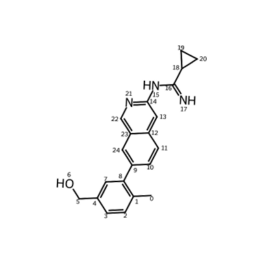 Cc1ccc(CO)cc1-c1ccc2cc(NC(=N)C3CC3)ncc2c1